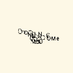 COC(=O)c1cc(OC)n2c(C)c(-c3cc4ccc(OCc5ccccc5)nc4n3C(=O)OC(C)(C)C)nc2c1